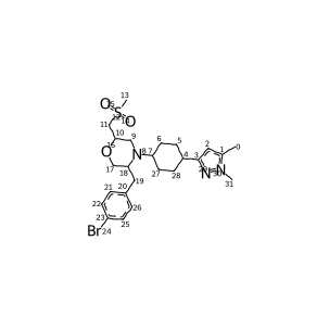 Cc1cc(C2CCC(N3CC(CS(C)(=O)=O)OCC3Cc3ccc(Br)cc3)CC2)nn1C